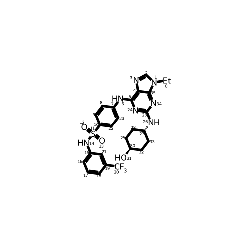 CCn1cnc2c(Nc3ccc(S(=O)(=O)Nc4cccc(C(F)(F)F)c4)cc3)nc(N[C@H]3CC[C@H](O)CC3)nc21